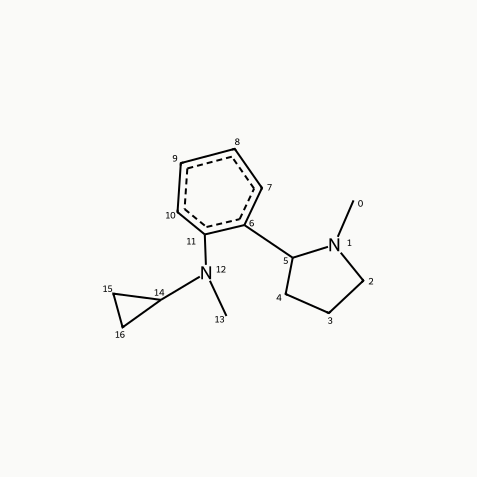 CN1CCCC1c1ccccc1N(C)C1CC1